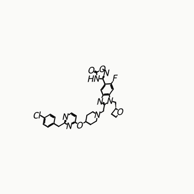 O=c1[nH]c(-c2cc3nc(CN4CCC(Oc5ccnc(Cc6ccc(Cl)cc6)n5)CC4)n(C[C@@H]4CCO4)c3cc2F)no1